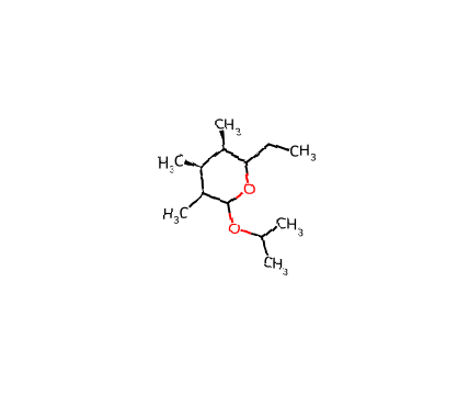 CCC1OC(OC(C)C)C(C)[C@@H](C)[C@H]1C